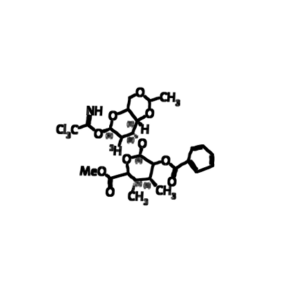 [3H]C1[C@@H](OC(=N)C(Cl)(Cl)Cl)OC2COC(C)O[C@@H]2[C@@H]1O[C@@H]1OC(C(=O)OC)[C@@H](C)[C@H](C)C1OC(=O)c1ccccc1